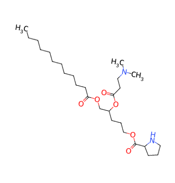 CCCCCCCCCCCC(=O)OCC(CCCOC(=O)C1CCCN1)OC(=O)CCN(C)C